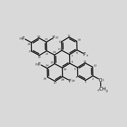 COc1ccc(-c2c3c(F)cccc3c(-c3ccc(F)cc3F)c3c(F)ccc(F)c23)cc1